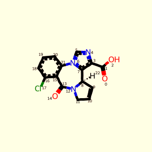 O=C(O)c1ncn2c1[C@H]1C=CCN1C(=O)c1c(Cl)cccc1-2